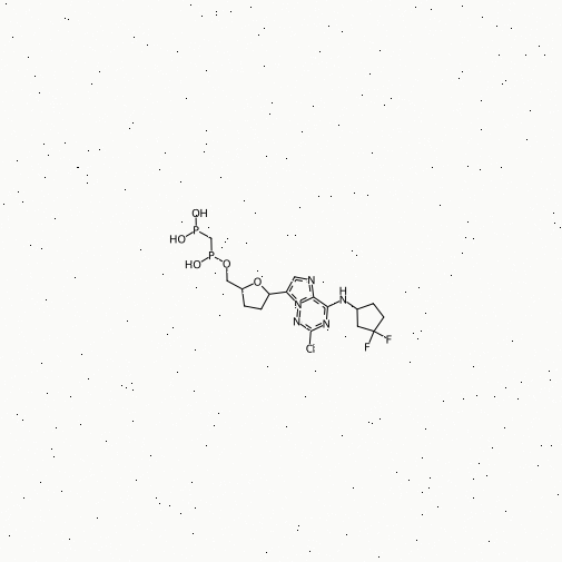 OP(O)CP(O)OCC1CCC(c2cnc3c(NC4CCC(F)(F)C4)nc(Cl)nn23)O1